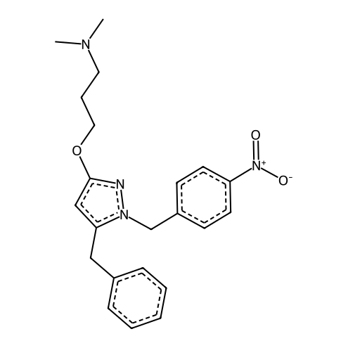 CN(C)CCCOc1cc(Cc2ccccc2)n(Cc2ccc([N+](=O)[O-])cc2)n1